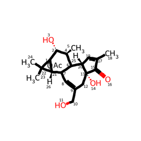 CC(=O)O[C@@]12[C@H](O)[C@@H](C)C3C(C=C(CO)C[C@]4(O)C(=O)C(C)=C[C@@H]34)[C@@H]1C2(C)C